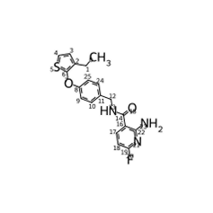 CCc1ccsc1Oc1ccc(CNC(=O)c2ccc(F)nc2N)cc1